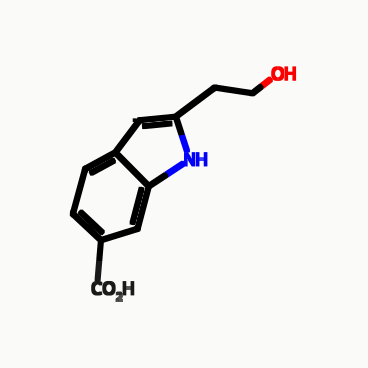 O=C(O)c1ccc2[c]c(CCO)[nH]c2c1